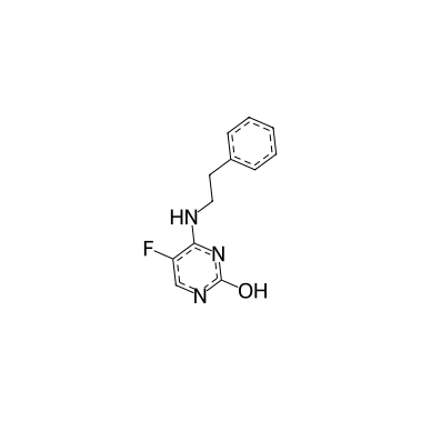 Oc1ncc(F)c(NCCc2ccccc2)n1